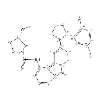 CO[C@H]1CCN(C(=O)Nc2cccc3nn4ccc(N5CCC[C@@H]5c5cc(F)ccc5F)nc4c23)C1